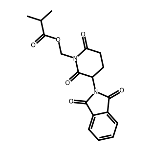 CC(C)C(=O)OCN1C(=O)CCC(N2C(=O)c3ccccc3C2=O)C1=O